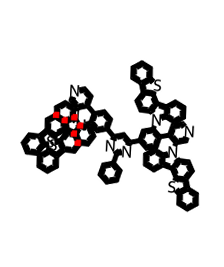 c1ccc(-c2nc(-c3ccc(-c4ccncc4-n4c5ccccc5c5c6sc7ccccc7c6ccc54)c(-n4c5ccccc5c5c6sc7ccccc7c6ccc54)c3)cc(-c3ccc(-c4ccncc4-n4c5ccccc5c5c6sc7ccccc7c6ccc54)c(-n4c5ccccc5c5c6sc7ccccc7c6ccc54)c3)n2)cc1